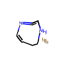 Br.C1=CN=CNC1